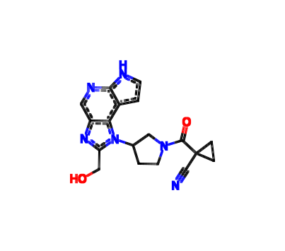 N#CC1(C(=O)N2CCC(n3c(CO)nc4cnc5[nH]ccc5c43)C2)CC1